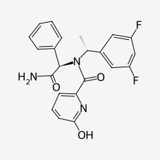 C[C@H](c1cc(F)cc(F)c1)N(C(=O)c1cccc(O)n1)[C@@H](C(N)=O)c1ccccc1